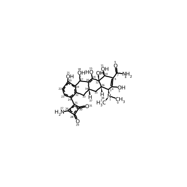 CN(C)[C@@H]1C(O)=C(C(N)=O)C(O)[C@@]2(O)C(O)=C3C(O)c4c(O)ccc(-c5c(N)c(=O)c5=O)c4C[C@H]3C[C@@H]12